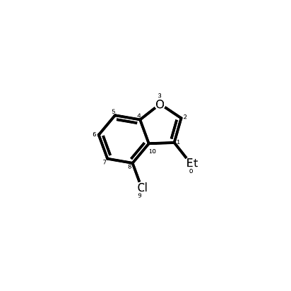 [CH2]Cc1coc2cccc(Cl)c12